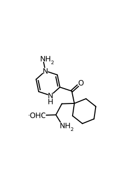 NC([C]=O)CC1(C(=O)C2=CN(N)C=CN2)CCCCC1